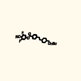 CCCCOCC1CCC(CCc2ccc(C(=O)Oc3cc(F)c(C#N)c(F)c3)cc2)CC1